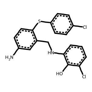 Nc1ccc(Sc2ccc(Cl)cc2)c(CNc2cccc(Cl)c2O)c1